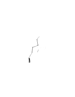 C=CCCCCO.CS(=O)(=O)O